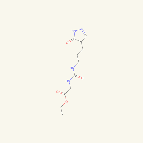 CCOC(=O)CNC(=O)NCCCC1C=NNC1=O